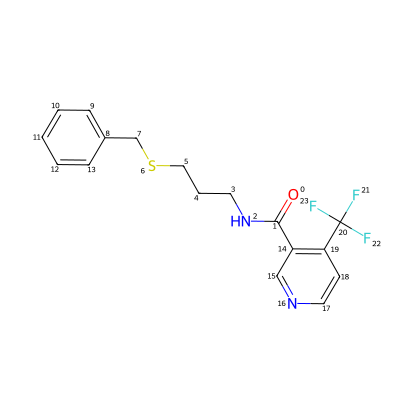 O=C(NCCCSCc1ccccc1)c1cnccc1C(F)(F)F